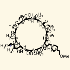 C/C=C/C[C@@H](C)[C@@H](O)[C@H]1C(=O)N[C@@H](CC)C(=O)N(C)[C@H](C)C(=O)N(C)[C@@H]([C@H](C)CN2CCN(CCOC)CC2)C(=O)N[C@@H](C(C)C)C(=O)N(C)[C@@H](CC(C)C)C(=O)N[C@@H](C)C(=O)N[C@H](C)C(=O)N(C)[C@@H](CC(C)C)C(=O)N(C)[C@@H](CC(C)C)C(=O)N(C)[C@@H](C(C)C)C(=O)N1C